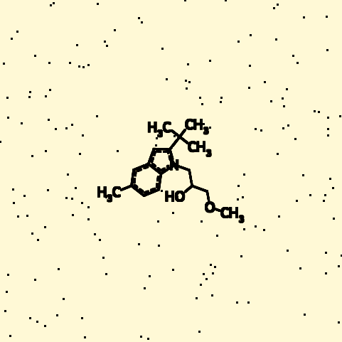 COCC(O)Cn1c(C(C)(C)C)cc2cc(C)ccc21